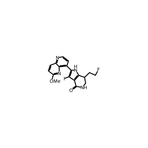 COc1ccc2nccc(-c3[nH]c4c(c3I)C(=O)NCC4CCF)c2n1